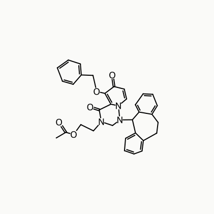 CC(=O)OCCN1CN(C2c3ccccc3CCc3ccccc32)n2ccc(=O)c(OCc3ccccc3)c2C1=O